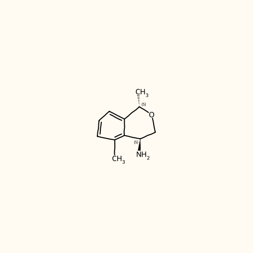 Cc1cccc2c1[C@H](N)CO[C@H]2C